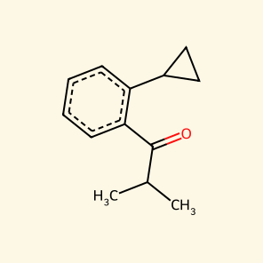 CC(C)C(=O)c1ccccc1C1CC1